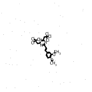 COc1ccc(C=Cc2nc(CC(Cl)(Cl)Cl)nc(CC(Cl)(Cl)Cl)n2)cc1OC